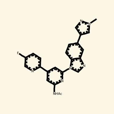 CC(=O)Nc1cc(-c2ccc(F)cn2)cc(-n2cnc3cc(-c4cnn(C)c4)ccc32)n1